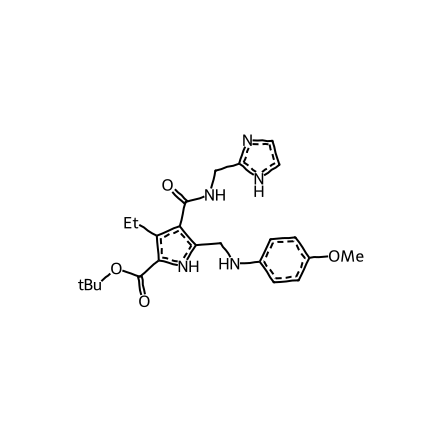 CCc1c(C(=O)OC(C)(C)C)[nH]c(CNc2ccc(OC)cc2)c1C(=O)NCc1ncc[nH]1